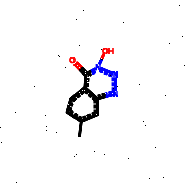 Cc1ccc2c(=O)n(O)nnc2c1